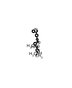 Cc1ccc(C(=O)N2CC(c3ccc(-c4ccnc5ccccc45)cc3)C2)cc1NC(=O)c1ccc(NC(C)C)nc1